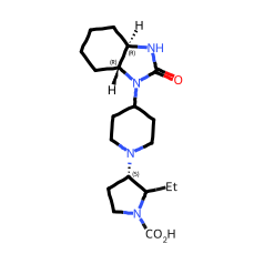 CCC1[C@@H](N2CCC(N3C(=O)N[C@@H]4CCCC[C@H]43)CC2)CCN1C(=O)O